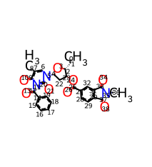 CC[C@H]1O[C@@H](n2cc(C)c(=O)n(C(=O)c3ccccc3)c2=O)C[C@H]1OC(=O)c1ccc2c(c1)C(=O)N(C)C2=O